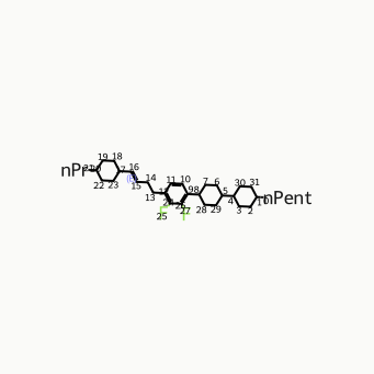 CCCCCC1CCC(C2CCC(c3ccc(CC/C=C/C4CCC(CCC)CC4)c(F)c3F)CC2)CC1